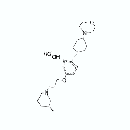 C[C@H]1CCCN(CCCOc2ccc([C@H]3CC[C@@H](N4CCOCC4)CC3)cc2)C1.Cl.Cl